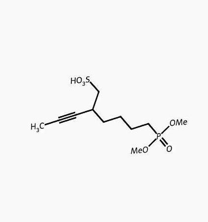 CC#CC(CCCCP(=O)(OC)OC)CS(=O)(=O)O